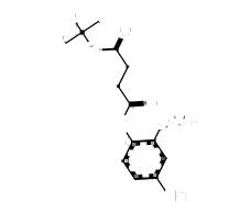 CCCc1ccc(OC(=O)CCC(=O)OC(C)(C)O)c(OC)c1